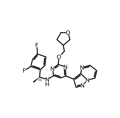 C[C@H](Nc1cc(-c2cnn3cccnc23)nc(OCC2CCOC2)n1)c1ccc(F)cc1F